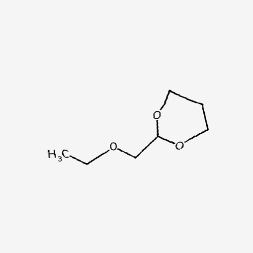 CCOCC1OCCCO1